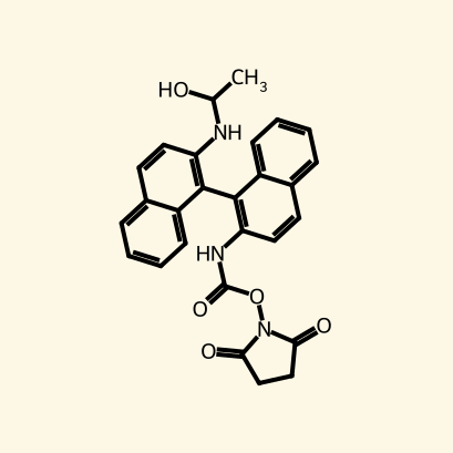 CC(O)Nc1ccc2ccccc2c1-c1c(NC(=O)ON2C(=O)CCC2=O)ccc2ccccc12